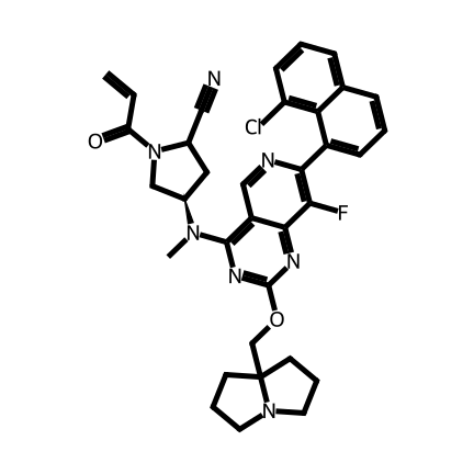 C=CC(=O)N1C[C@H](N(C)c2nc(OCC34CCCN3CCC4)nc3c(F)c(-c4cccc5cccc(Cl)c45)ncc23)CC1C#N